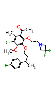 COc1c(Cl)c(C)c(C(C)=O)c(OCCN2CC(F)(F)C2)c1OCCC(C)c1ccc(F)cc1